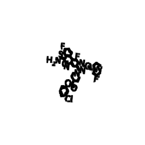 N#Cc1c(N)sc2c(F)ccc(-c3c(Cl)cc4c(N5CCC(C(=O)Oc6cccc(Cl)c6)CC5)nc(OC[C@@]56CCCN5C[C@H](F)C6)nc4c3F)c12